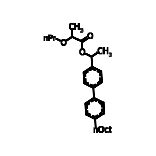 CCCCCCCCc1ccc(-c2ccc(C(C)OC(=O)C(C)OCCC)cc2)cc1